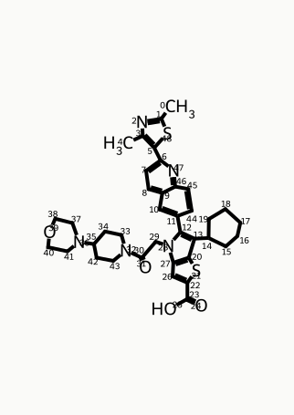 Cc1nc(C)c(-c2ccc3cc(-c4c(C5CCCCC5)c5sc(C(=O)O)cc5n4CC(=O)N4CCC(N5CCOCC5)CC4)ccc3n2)s1